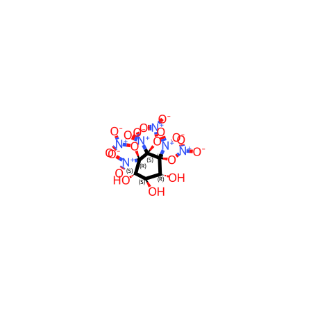 O=[N+]([O-])O[C@@]1([N+](=O)[O-])[C@](O[N+](=O)[O-])([N+](=O)[O-])[C@H](O)[C@@H](O)[C@H](O)[C@]1(O[N+](=O)[O-])[N+](=O)[O-]